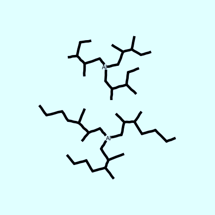 CCC(C)C(C)[CH2][Al]([CH2]C(C)C(C)CC)[CH2]C(C)C(C)CC.CCCCC(C)C(C)[CH2][Al]([CH2]C(C)C(C)CCCC)[CH2]C(C)C(C)CCCC